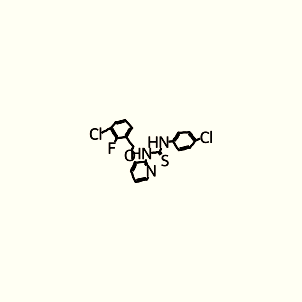 Fc1c(Cl)cccc1COc1cccnc1NC(=S)Nc1ccc(Cl)cc1